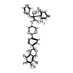 C[C@@H](S[C@H]1CO[C@H](c2ccc(C(=O)Nc3c(F)c(F)c(C#N)c(F)c3F)cc2)OC1)[C@](O)(Cn1cncn1)c1ccc(F)cc1F